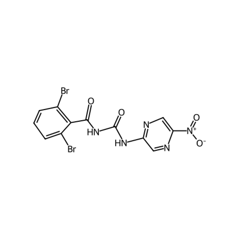 O=C(NC(=O)c1c(Br)cccc1Br)Nc1cnc([N+](=O)[O-])cn1